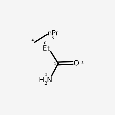 CCC(N)=O.CCCC